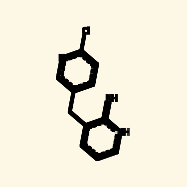 N=c1[nH]cccc1Cc1ccc(Cl)nc1